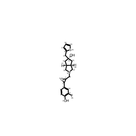 Oc1ccc(C2OC2CN2C[C@@H]3C[C@@](O)(Cc4cccs4)C[C@@H]3C2)cc1F